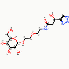 O=C(CC(O)c1c[nH]nn1)NCCOCCO[C@H]1O[C@H](CO)[C@H](O)[C@H](O)[C@H]1O